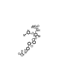 CC(CO)(NCc1cc(Br)c(O[C@H]2CCc3c(-c4cccc(-c5ccc(CNC[C@@H]6CCC(=O)N6)cc5)c4Cl)cccc32)nc1OCc1cncc(C#N)c1)C(=O)O